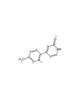 Cc1ccc(-c2cc[nH]c(=O)c2)nc1